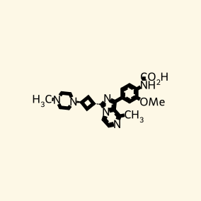 COc1cc(-c2nc([C@H]3C[C@H](N4CCN(C)CC4)C3)n3ccnc(C)c23)ccc1NC(=O)O